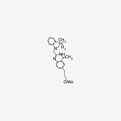 C=C1NC(CN2CC(C)(C)c3ccccc32)=Nc2ccc(CCCOC)cc21